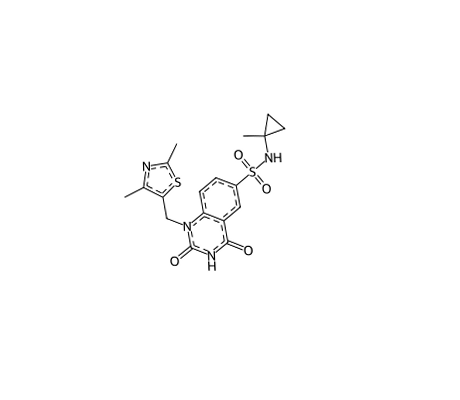 Cc1nc(C)c(Cn2c(=O)[nH]c(=O)c3cc(S(=O)(=O)NC4(C)CC4)ccc32)s1